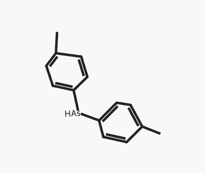 Cc1ccc([AsH]c2ccc(C)cc2)cc1